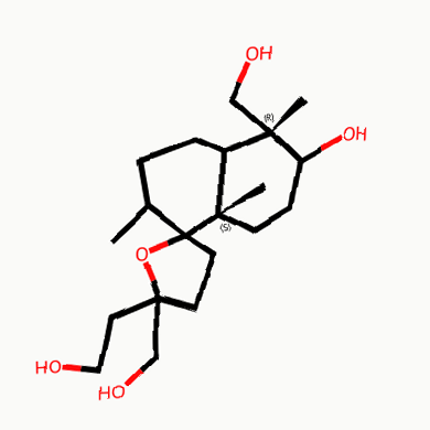 CC1CCC2[C@](C)(CO)C(O)CC[C@]2(C)C12CCC(CO)(CCO)O2